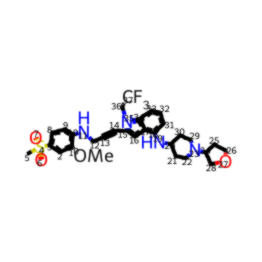 COc1cc(S(C)(=O)=O)ccc1NCC#Cc1cc2c(NC3CCN(C4CCOC4)CC3)cccc2n1CC(F)(F)F